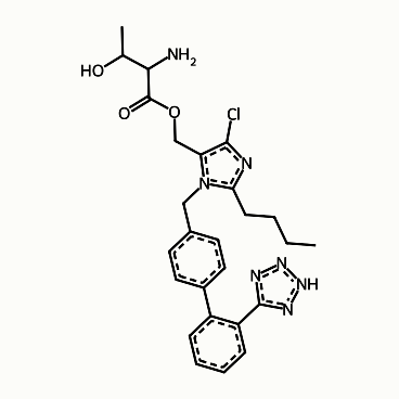 CCCCc1nc(Cl)c(COC(=O)C(N)C(C)O)n1Cc1ccc(-c2ccccc2-c2nn[nH]n2)cc1